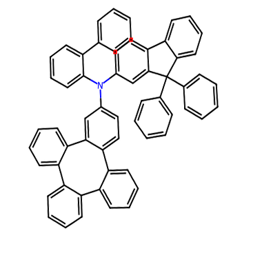 c1ccc(-c2ccccc2N(c2ccc3c(c2)-c2ccccc2-c2ccccc2-c2ccccc2-3)c2ccc3c(c2)C(c2ccccc2)(c2ccccc2)c2ccccc2-3)cc1